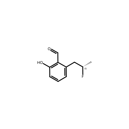 C[C@H](F)Cc1cccc(O)c1C=O